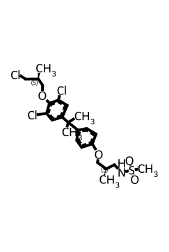 C[C@H](CCl)COc1c(Cl)cc(C(C)(C)c2ccc(OC[C@@H](C)CNS(C)(=O)=O)cc2)cc1Cl